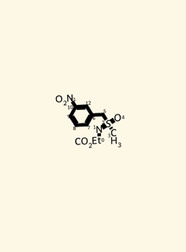 CCOC(=O)N=S(C)(=O)Cc1cccc([N+](=O)[O-])c1